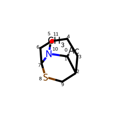 CC(=O)C1C2CCCCC(SC2)N1C